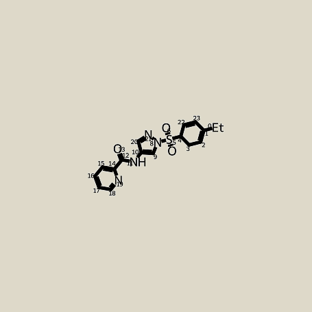 CCC1=CCC(S(=O)(=O)n2cc(NC(=O)c3ccccn3)cn2)C=C1